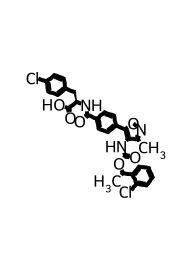 Cc1noc(-c2ccc(C(=O)N[C@H](Cc3ccc(Cl)cc3)C(=O)O)cc2)c1NC(=O)OC(C)c1ccccc1Cl